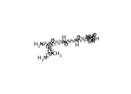 CC(=O)CN(CCCCN)C(=O)CN(CCCCN)C(=O)CCCCCNC(=O)CCCCCNC(=O)CCCCC1SC[C@@H]2NC(=O)N[C@H]12